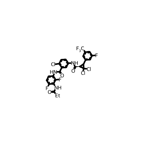 CCC(=O)Nc1c(F)ccc(NC(=O)c2cc(NC(=O)[C@H]3C(c4cc(F)cc(C(F)(F)F)c4)C3(Cl)Cl)ccc2Cl)c1F